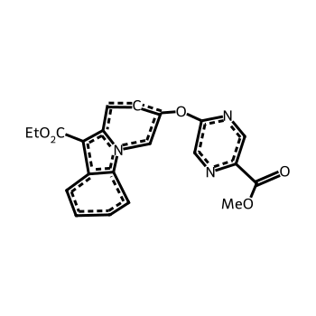 CCOC(=O)c1c2ccccc2n2cc(Oc3cnc(C(=O)OC)cn3)ccc12